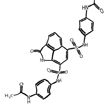 CC(=O)Nc1ccc(NS(=O)(=O)c2cc(S(=O)(=O)Nc3ccc(NC(C)=O)cc3)c3cccc4c3c2NC4=O)cc1